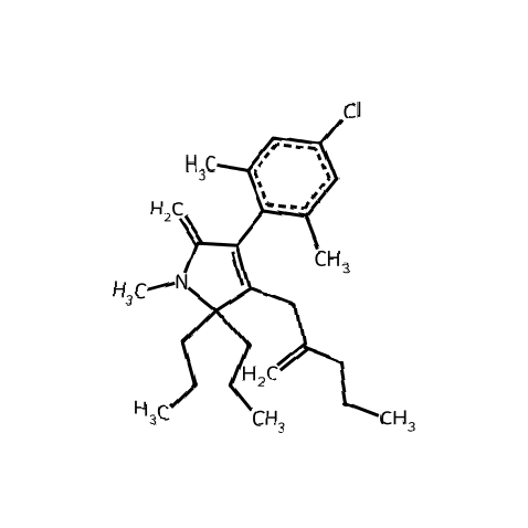 C=C(CCC)CC1=C(c2c(C)cc(Cl)cc2C)C(=C)N(C)C1(CCC)CCC